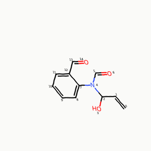 C=CC(O)N(C=O)c1ccccc1C=O